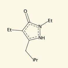 CCc1c(CC(C)C)[nH]n(CC)c1=O